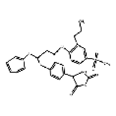 CCCc1cc(S(C)(=O)=O)ccc1OCCC(Oc1ccccc1)Oc1ccc(C2NC(=O)SC2=O)cc1